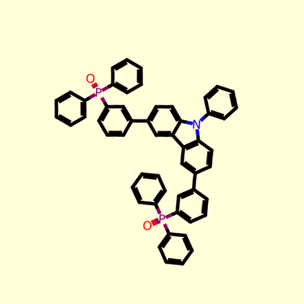 O=P(c1ccccc1)(c1ccccc1)c1cccc(-c2ccc3c(c2)c2cc(-c4cccc(P(=O)(c5ccccc5)c5ccccc5)c4)ccc2n3-c2ccccc2)c1